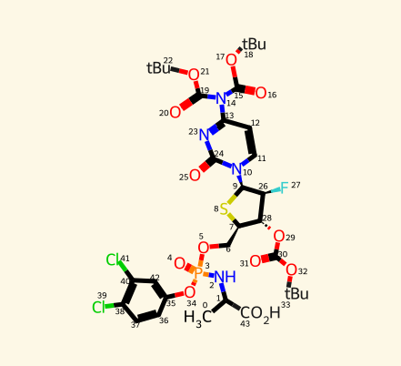 CC(NP(=O)(OC[C@H]1S[C@@H](n2ccc(N(C(=O)OC(C)(C)C)C(=O)OC(C)(C)C)nc2=O)[C@@H](F)[C@@H]1OC(=O)OC(C)(C)C)Oc1ccc(Cl)c(Cl)c1)C(=O)O